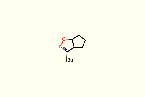 CC(C)(C)C1=NOC2CCCC12